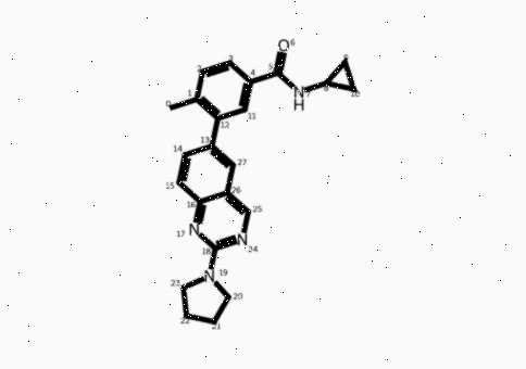 Cc1ccc(C(=O)NC2CC2)cc1-c1ccc2nc(N3CCCC3)ncc2c1